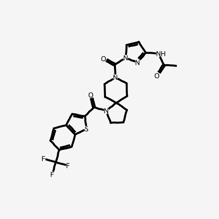 CC(=O)Nc1ccn(C(=O)N2CCC3(CCCN3C(=O)c3cc4ccc(C(F)(F)F)cc4s3)CC2)n1